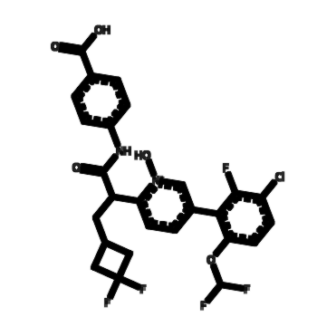 O=C(O)c1ccc(NC(=O)C(CC2CC(F)(F)C2)c2ccc(-c3c(OC(F)F)ccc(Cl)c3F)c[n+]2O)cc1